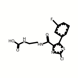 O=C(O)NCCNC(=O)c1nc(Cl)sc1-c1cccc(F)c1